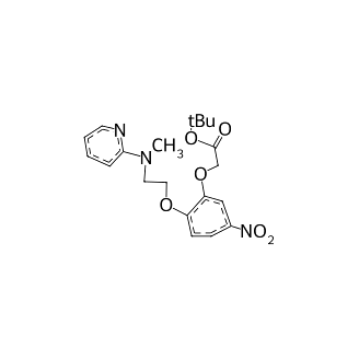 CN(CCOc1ccc([N+](=O)[O-])cc1OCC(=O)OC(C)(C)C)c1ccccn1